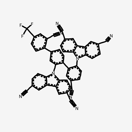 N#Cc1ccc(-n2c3ccc(C#N)cc3c3cc(C#N)ccc32)c(-c2ccc(-c3ccc(C(F)(F)F)cc3C#N)cc2-n2c3ccc(C#N)cc3c3cc(C#N)ccc32)c1